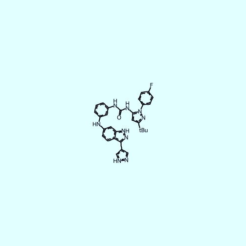 CC(C)(C)c1cc(NC(=O)Nc2cccc(Nc3ccc4c(-c5cn[nH]c5)n[nH]c4c3)c2)n(-c2ccc(F)cc2)n1